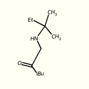 CCC(C)C(=O)CNC(C)(C)CC